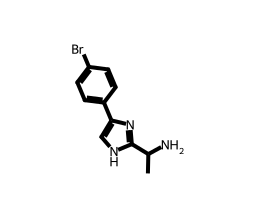 CC(N)c1nc(-c2ccc(Br)cc2)c[nH]1